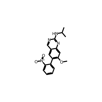 COc1cc2nc(NC(C)C)ncc2cc1-c1ccccc1[N+](=O)[O-]